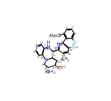 COc1cccc(F)c1-c1nc(CNc2cnccc2N2C[C@@H](N)[C@H](O)[C@@H](C)C2)ccc1F